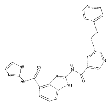 O=C(Nc1nc2c(C(=O)Nc3ncc[nH]3)cccc2[nH]1)c1cncc(CCc2ccccc2)c1